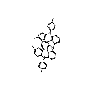 Cc1ccc(N(c2ccc(C)cc2)c2cccc3c2c2cccc4c5c(N(c6ccc(C)cc6)c6ccc(C)cc6)cccc5n3c24)cc1